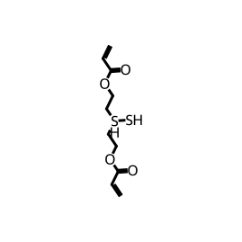 C=CC(=O)OCC[SH](S)CCOC(=O)C=C